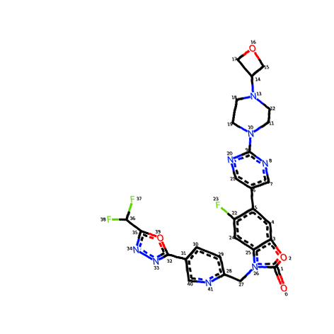 O=c1oc2cc(-c3cnc(N4CCN(C5COC5)CC4)nc3)c(F)cc2n1Cc1ccc(-c2nnc(C(F)F)o2)cn1